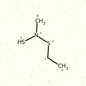 CCSN(C)S